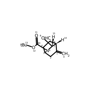 C=C1CC2CC[C@H]1[C@@H](C=O)N2C(=O)OC(C)(C)C